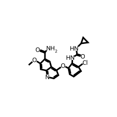 COc1cc2nccc(Oc3cccc(Cl)c3NC(=O)NC3CC3)c2cc1C(N)=O